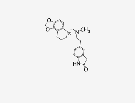 CN(CCc1ccc2c(c1)CC(=O)N2)C[C@@H]1CCCc2c1ccc1c2OCO1